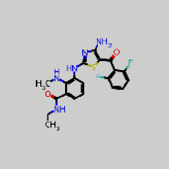 CCNC(=O)c1cccc(Nc2nc(N)c(C(=O)c3c(F)cccc3F)s2)c1NC